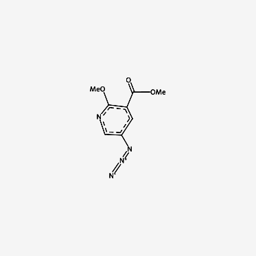 COC(=O)c1cc(N=[N+]=[N-])cnc1OC